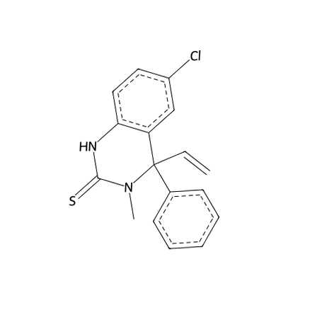 C=CC1(c2ccccc2)c2cc(Cl)ccc2NC(=S)N1C